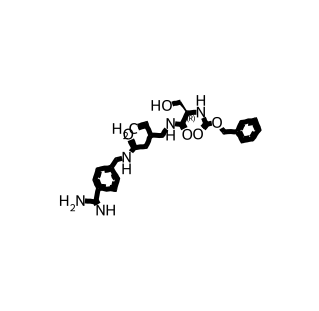 C=CC(CNC(=O)[C@@H](CO)NC(=O)OCc1ccccc1)CC(=O)NCc1ccc(C(=N)N)cc1